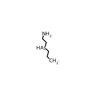 [CH2]CC[AsH]CCN